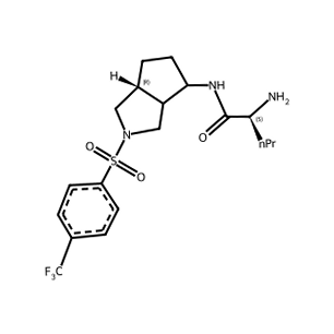 CCC[C@H](N)C(=O)NC1CC[C@H]2CN(S(=O)(=O)c3ccc(C(F)(F)F)cc3)CC12